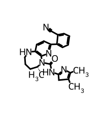 CC1=C(C)N=C(NC(=O)N2c3nc(-c4ccccc4C#N)ccc3NCCC[C@H]2C)C1